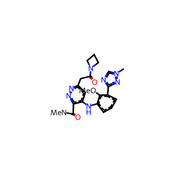 CNC(=O)c1nnc(CC(=O)N2CCC2)cc1Nc1cccc(-c2ncn(C)n2)c1OC